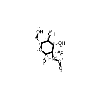 CC(=O)[C@]1(NO[O])[C@H]([O])O[C@H](CO)[C@@H](O)[C@@H]1O